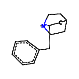 c1ccc(CC2CC3CC[N+]2CC3)cc1